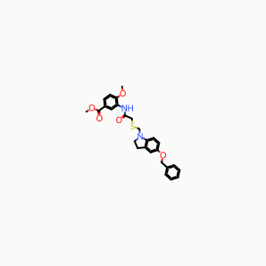 COC(=O)c1ccc(OC)c(NC(=O)CSCN2CCc3cc(OCc4ccccc4)ccc32)c1